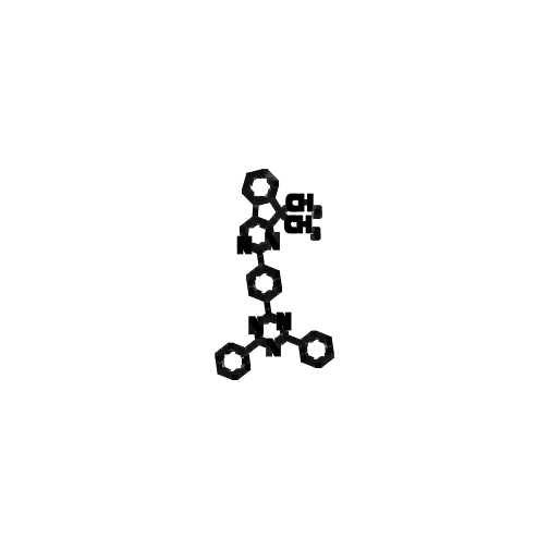 CC1(C)c2ccccc2-c2cnc(-c3ccc(-c4nc(-c5ccccc5)nc(-c5ccccc5)n4)cc3)nc21